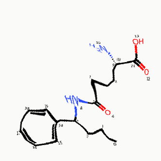 CCCC(NC(=O)CC[C@H](N)C(=O)O)c1ccccc1